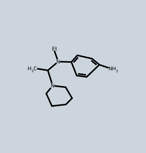 CCN(c1ccc(N)cc1)C(C)N1CCCCC1